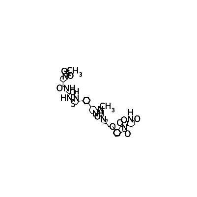 CN(CC(=O)N1CC(COc2cccc3c2C(=O)N(C2CCC(=O)NC2=O)C3=O)C1)C1CC(c2cccc(C3CSC(NC(=O)CNC(=O)C4CCN(S(C)(=O)=O)C4)N3)c2)CCN1